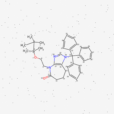 CC(C)(C)[Si](C)(C)OCCN1C(=O)CCCc2c1ncn2C(c1ccccc1)(c1ccccc1)c1ccccc1